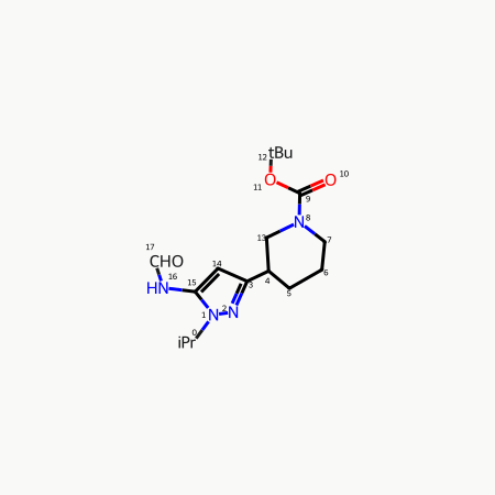 CC(C)n1nc(C2CCCN(C(=O)OC(C)(C)C)C2)cc1NC=O